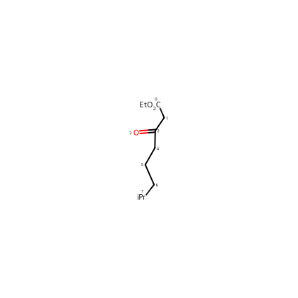 CCOC(=O)CC(=O)CCCC(C)C